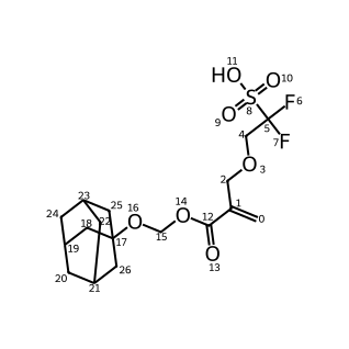 C=C(COCC(F)(F)S(=O)(=O)O)C(=O)OCOC12CC3CC(CC(C3)C1)C2